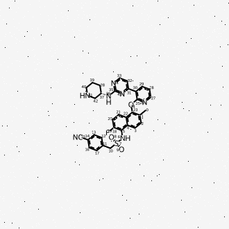 Cc1ccc2c(NS(=O)(=O)Cc3ccc(C#N)cc3)c(F)ccc2c1Oc1ncccc1-c1ccnc(N[C@H]2CCCNC2)n1